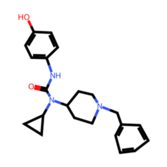 O=C(Nc1ccc(O)cc1)N(C1CC1)C1CCN(Cc2ccccc2)CC1